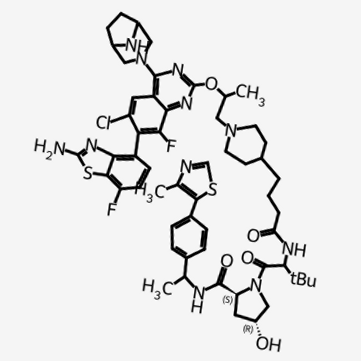 Cc1ncsc1-c1ccc(C(C)NC(=O)[C@@H]2C[C@@H](O)CN2C(=O)C(NC(=O)CCCC2CCN(CC(C)Oc3nc(N4CC5CCC(C4)N5)c4cc(Cl)c(-c5ccc(F)c6sc(N)nc56)c(F)c4n3)CC2)C(C)(C)C)cc1